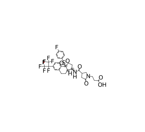 O=C(O)CCN1CC(C(=O)N[C@@H]2CC[C@@]3(S(=O)(=O)c4ccc(F)cc4)c4ccc(C(F)(C(F)(F)F)C(F)(F)F)cc4CC[C@@H]23)CC1=O